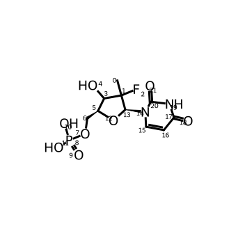 CC1(F)C(O)[C@H](COP(=O)(O)O)O[C@@H]1n1ccc(=O)[nH]c1=O